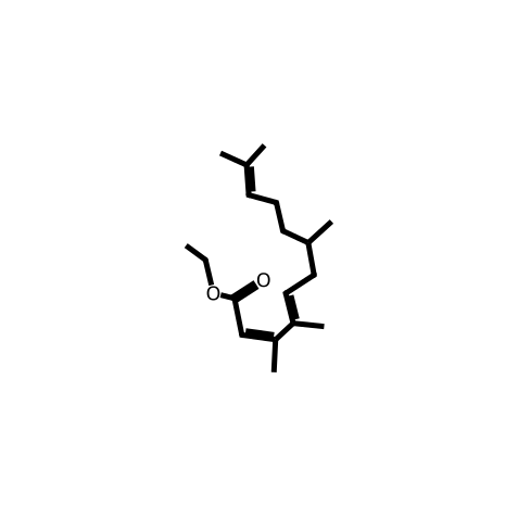 CCOC(=O)C=C(C)C(C)=CCC(C)CCC=C(C)C